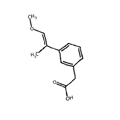 CO/C=C(\C)c1cccc(CC(=O)O)c1